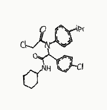 CC(C)c1ccc(N(C(=O)CCl)C(C(=O)NC2CCCCC2)c2ccc(Cl)cc2)cc1